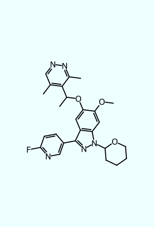 COc1cc2c(cc1OC(C)c1c(C)cnnc1C)c(-c1ccc(F)nc1)nn2C1CCCCO1